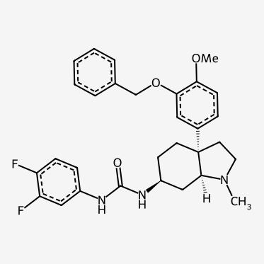 COc1ccc([C@@]23CC[C@H](NC(=O)Nc4ccc(F)c(F)c4)C[C@@H]2N(C)CC3)cc1OCc1ccccc1